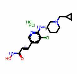 Cl.Cl.O=C(/C=C/c1cnc(N[C@@H]2CCCN(CC3CC3)C2)c(Cl)c1)NO